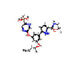 COC[C@H](C)Oc1cc(Oc2cnc(S(C)(=O)=O)cn2)cc(-c2ccc(C3=N[CH][C@H](C)O3)[nH]2)c1